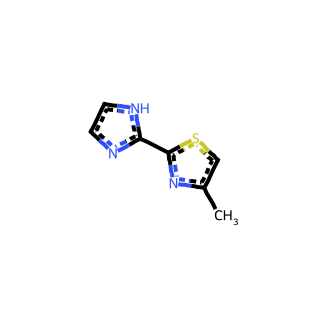 Cc1csc(-c2ncc[nH]2)n1